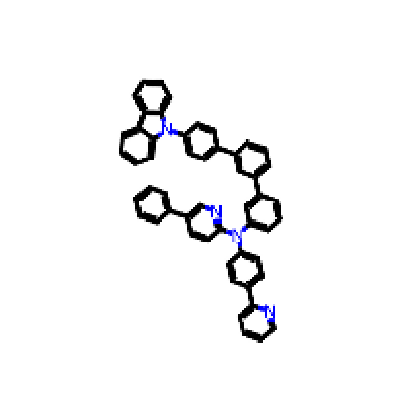 c1ccc(-c2ccc(N(c3ccc(-c4ccccn4)cc3)c3cccc(-c4cccc(-c5ccc(-n6c7ccccc7c7ccccc76)cc5)c4)c3)nc2)cc1